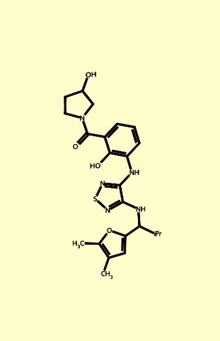 Cc1cc(C(Nc2nsnc2Nc2cccc(C(=O)N3CCC(O)C3)c2O)C(C)C)oc1C